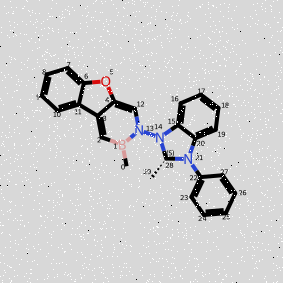 CB1C=c2c(oc3ccccc23)=CN1N1c2ccccc2N(c2ccccc2)[C@@H]1C